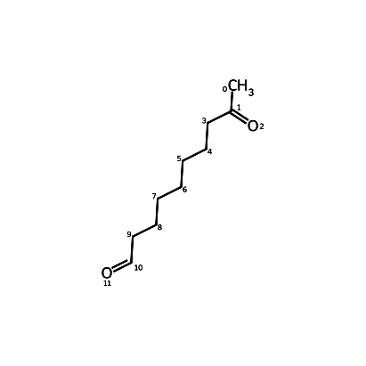 CC(=O)CCCCCCCC=O